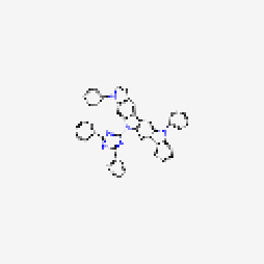 c1ccc(-c2nc(-c3ccccc3)nc(-n3c4cc5c6ccccc6n(-c6ccccc6)c5cc4c4cc5ccn(-c6ccccc6)c5cc43)n2)cc1